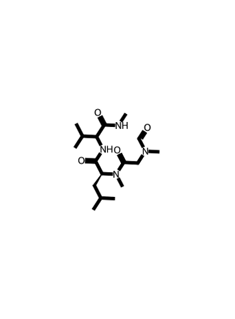 CNC(=O)C(NC(=O)[C@H](CC(C)C)N(C)C(=O)CN(C)C=O)C(C)C